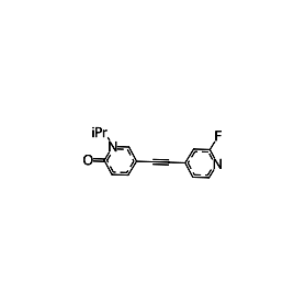 CC(C)n1cc(C#Cc2ccnc(F)c2)ccc1=O